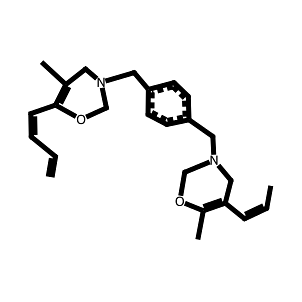 C=C/C=C\C1=C(C)CN(Cc2ccc(CN3COC(C)=C(/C=C\C)C3)cc2)CO1